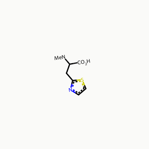 CNC(Cc1nccs1)C(=O)O